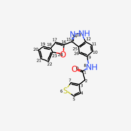 O=C(Cc1ccsc1)Nc1ccc2[nH]nc(-c3cc4ccccc4o3)c2c1